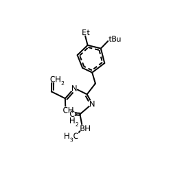 C=C/C(C)=N/C(Cc1ccc(CC)c(C(C)(C)C)c1)=N\C(=C)BC